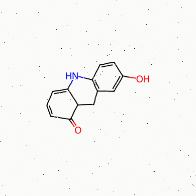 O=C1C=CC=C2Nc3ccc(O)cc3CC12